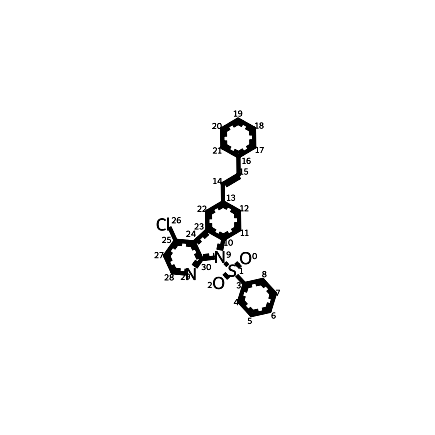 O=S(=O)(c1ccccc1)n1c2ccc(C=Cc3ccccc3)cc2c2c(Cl)ccnc21